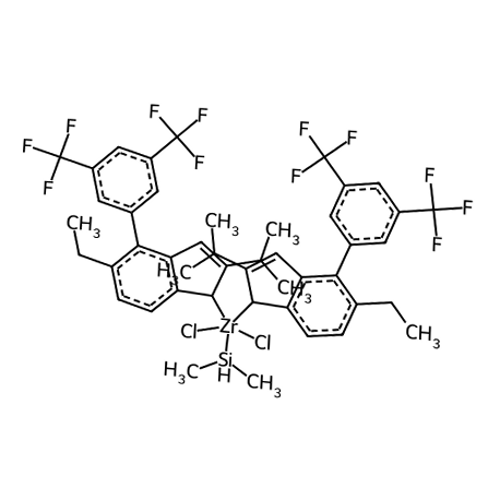 CCc1ccc2c(c1-c1cc(C(F)(F)F)cc(C(F)(F)F)c1)C=C(C(C)C)[CH]2[Zr]([Cl])([Cl])([CH]1C(C(C)C)=Cc2c1ccc(CC)c2-c1cc(C(F)(F)F)cc(C(F)(F)F)c1)[SiH](C)C